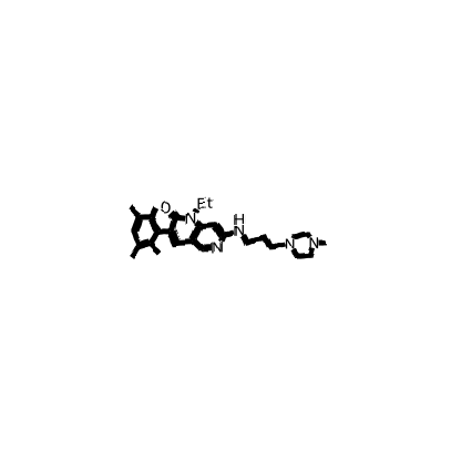 CCn1c(=O)c(-c2c(C)c(C)cc(C)c2C)cc2cnc(NCCCN3CCN(C)CC3)cc21